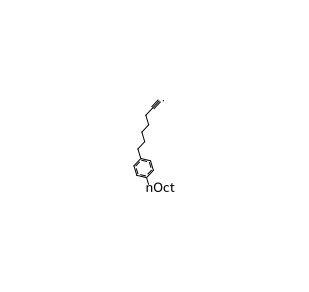 [C]#CCCCCCc1ccc(CCCCCCCC)cc1